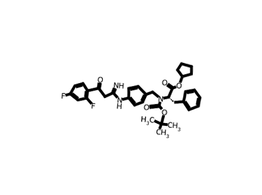 CC(C)(C)OC(=O)N(Cc1ccc(NC(=N)CC(=O)c2ccc(F)cc2F)cc1)[C@@H](Cc1ccccc1)C(=O)OC1CCCC1